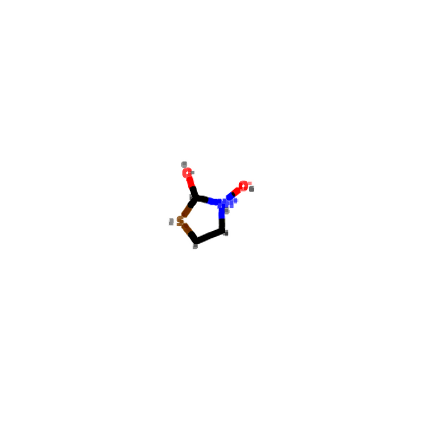 [O]C1SCC[NH+]1[O-]